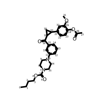 CCCCOC(=O)N1CCN(c2cccc(C(=O)C3CC3c3ccc(OC(C)=O)c(OC)c3)c2)CC1